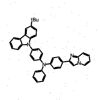 CC(C)(C)c1ccc2c(c1)c1ccccc1n2-c1ccc(N(c2ccccc2)c2ccc(-c3cn4ccccc4n3)cc2)cc1